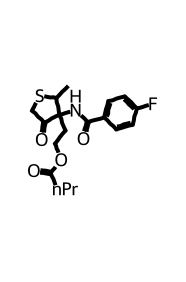 CCCC(=O)OCCC1(NC(=O)c2ccc(F)cc2)C(=O)CSC1C